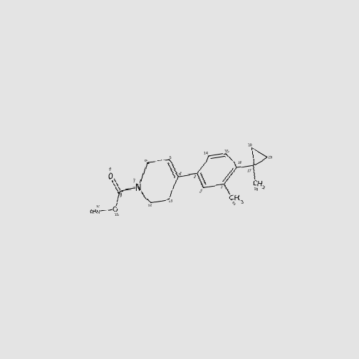 Cc1cc(C2=CCN(C(=O)OC(C)(C)C)CC2)ccc1C1(C)CC1